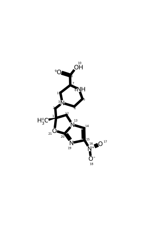 C[C@@]1(CN2CCNC(C(=O)O)C2)Cn2cc([N+](=O)[O-])nc2O1